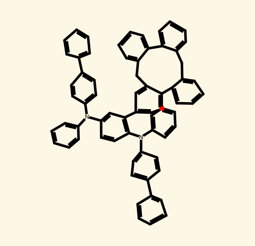 c1ccc(-c2ccc(N(c3ccccc3)c3ccc(N(c4ccccc4)c4ccc(-c5ccccc5)cc4)c(-c4ccc5c(c4)Cc4ccccc4-c4ccccc4Cc4ccccc4-5)c3)cc2)cc1